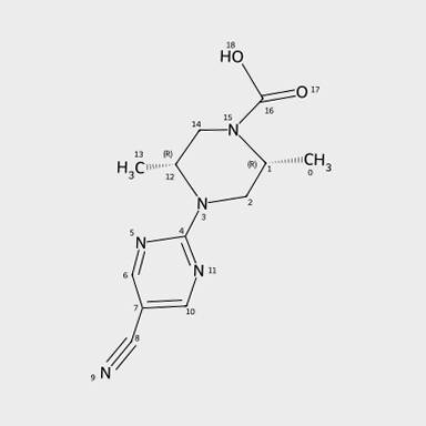 C[C@@H]1CN(c2ncc(C#N)cn2)[C@H](C)CN1C(=O)O